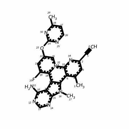 C#Cc1cc(C)c2c3c(c4c(N)ncnc4n3C)c3c(F)cc(Oc4nccc(C)n4)c[n+]3c2n1